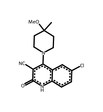 COC1(C)CCN(c2c(C#N)c(=O)[nH]c3ccc(Cl)cc23)CC1